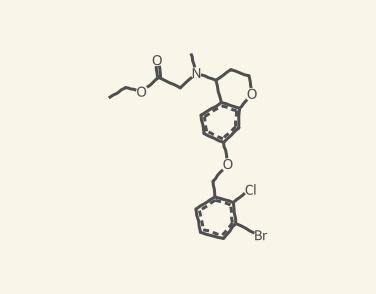 CCOC(=O)CN(C)C1CCOc2cc(OCc3cccc(Br)c3Cl)ccc21